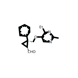 CCc1nc(C)ncc1OC[C@@]1(c2ccccc2)C[C@H]1C=O